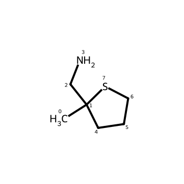 CC1(CN)CCCS1